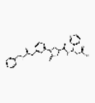 O=C(O)CC(NC(=O)C1CC(=O)N(c2cccc(CC(=O)NCc3ccccc3)c2)C1)c1cccnc1